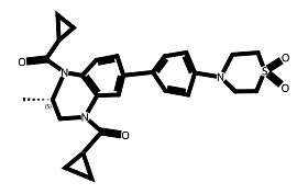 C[C@H]1CN(C(=O)C2CC2)c2cc(-c3ccc(N4CCS(=O)(=O)CC4)cc3)ccc2N1C(=O)C1CC1